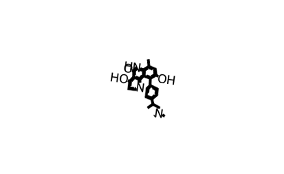 Cc1cc(O)c(-c2ccc(C(C)CN(C)C)cc2)c2c1[nH]c(=O)c1c(O)ccnc12